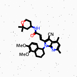 COc1ccc2c(c1OC)CCCC2n1c(C=CC(=O)NC2CCOC(C)(C)C2)c(C#N)c2c(C)cc(C)nc21